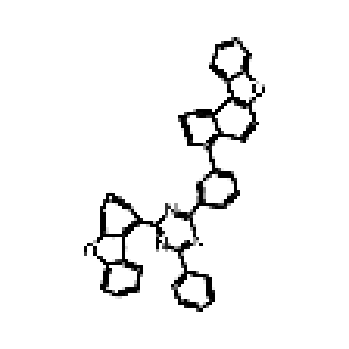 c1ccc(-c2nc(-c3cccc(-c4cccc5c4ccc4oc6ccccc6c45)c3)nc(-c3cccc4oc5ccccc5c34)n2)cc1